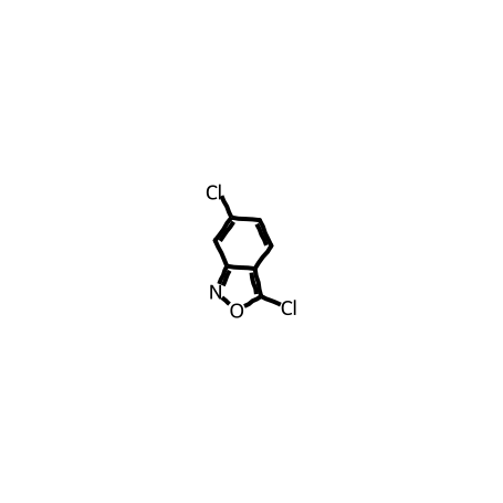 Clc1ccc2c(Cl)onc2c1